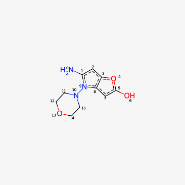 Nc1cc2oc(O)cc2n1N1CCOCC1